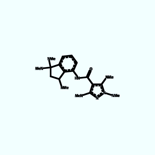 CNc1nn(NC)c(NC)c1C(=O)Nc1cccc2c1C(NC)CC2(NC)NC